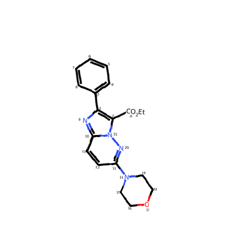 CCOC(=O)c1c(-c2ccccc2)nc2ccc(N3CCOCC3)nn12